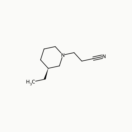 CC[C@H]1CCCN(CCC#N)C1